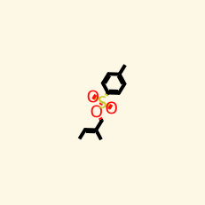 CC=C(C)COS(=O)(=O)c1ccc(C)cc1